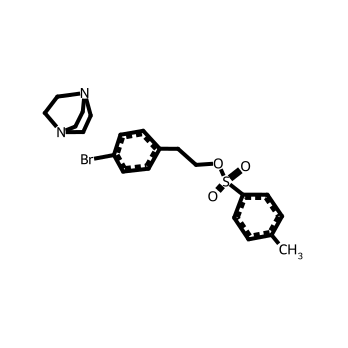 C1CN2CCN1CC2.Cc1ccc(S(=O)(=O)OCCc2ccc(Br)cc2)cc1